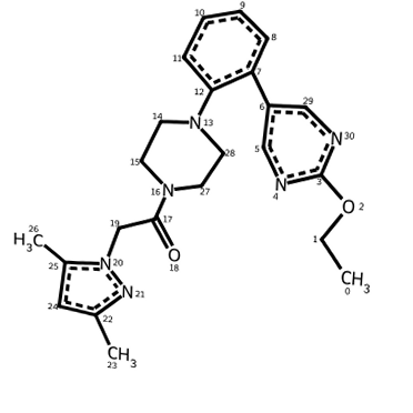 CCOc1ncc(-c2ccccc2N2CCN(C(=O)Cn3nc(C)cc3C)CC2)cn1